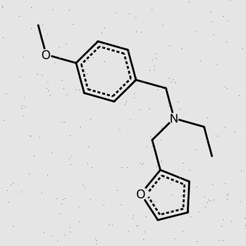 CCN(Cc1ccc(OC)cc1)Cc1ccco1